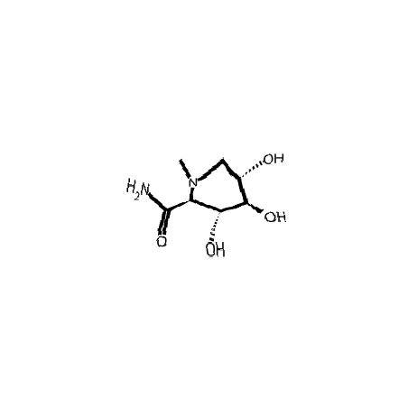 CN1C[C@H](O)[C@@H](O)[C@H](O)[C@H]1C(N)=O